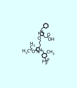 Cc1cc(C(F)(F)F)ccc1Cn1nc(OC(C)C)cc1CCCOc1nn(Cc2ccccc2)cc1CC(=O)O